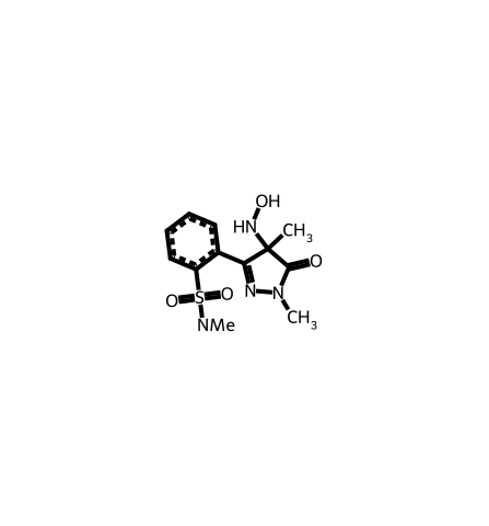 CNS(=O)(=O)c1ccccc1C1=NN(C)C(=O)C1(C)NO